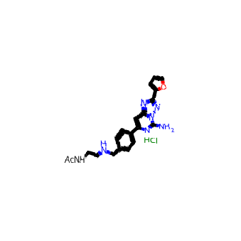 CC(=O)NCCNCc1ccc(-c2cc3nc(-c4ccco4)nn3c(N)n2)cc1.Cl